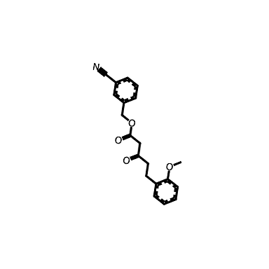 COc1ccccc1CCC(=O)CC(=O)OCc1cccc(C#N)c1